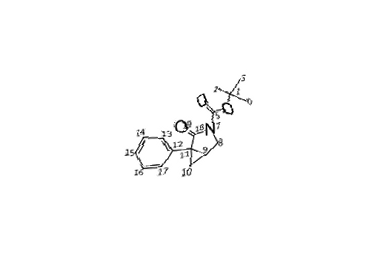 CC(C)(C)OC(=O)N1CC2CC2(c2ccccc2)C1=O